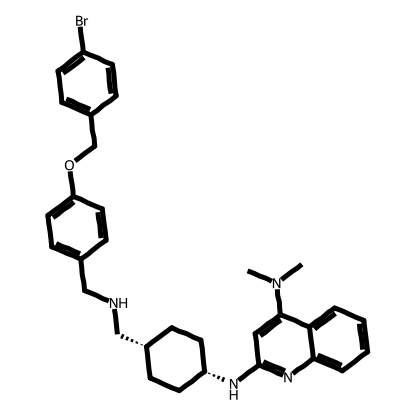 CN(C)c1cc(N[C@H]2CC[C@@H](CNCc3ccc(OCc4ccc(Br)cc4)cc3)CC2)nc2ccccc12